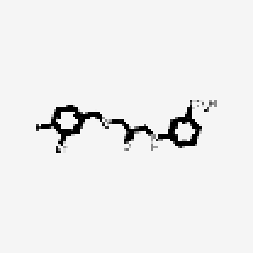 O=C(CNc1cccc(C(=O)O)c1)COCc1ccc(F)c(Br)c1